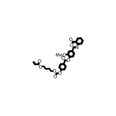 C=CC(=O)OCCCCOC(=O)Oc1ccc(C(=O)Oc2ccc(-c3nc4ccccc4c(=O)o3)cc2OC)cc1